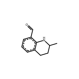 CC1CCc2cccc(C=O)c2N1